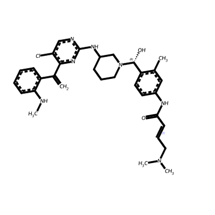 C=C(c1ccccc1NC)c1nc(NC2CCCN([C@H](O)c3ccc(NC(=O)/C=C/CN(C)C)cc3C)C2)ncc1Cl